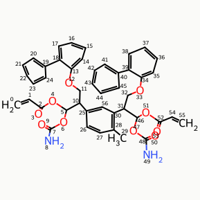 C=CC(=O)OC(OC(N)=O)C(COc1ccccc1-c1ccccc1)c1ccc(C)c(C(COc2ccccc2-c2ccccc2)C(OC(N)=O)OC(=O)C=C)c1